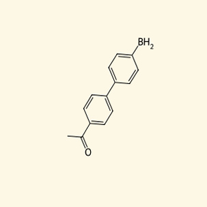 Bc1ccc(-c2ccc(C(C)=O)cc2)cc1